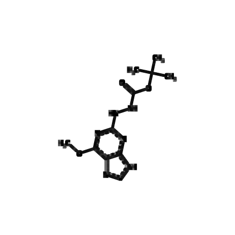 COc1nc(NNC(=O)OC(C)(C)C)nc2[nH]cnc12